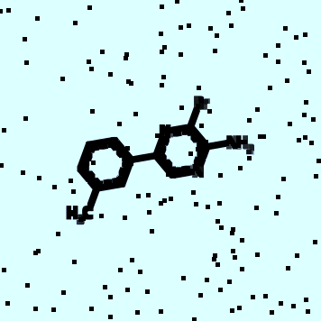 Cc1cccc(-c2cnc(N)c(Br)n2)c1